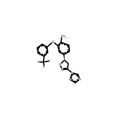 Cc1ccc([C@H]2CC(n3cncn3)=NO2)cc1Oc1cccc(C(F)(F)F)c1